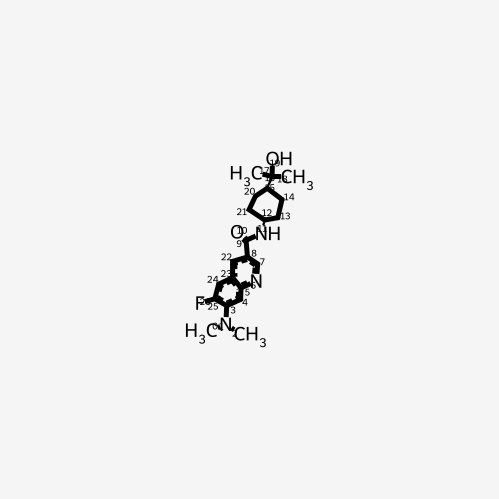 CN(C)c1cc2ncc(C(=O)N[C@H]3CC[C@H](C(C)(C)O)CC3)cc2cc1F